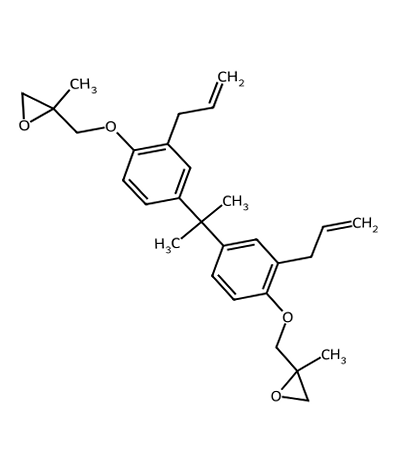 C=CCc1cc(C(C)(C)c2ccc(OCC3(C)CO3)c(CC=C)c2)ccc1OCC1(C)CO1